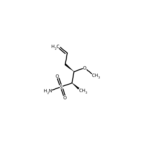 C=CC[C@@H](OC)[C@@H](C)S(N)(=O)=O